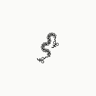 CCC(C)(C)C(=O)OCCC[Si](C)(C)O[Si](C)(C)O[Si](C)(C)O[Si](C)(C)O[Si](C)(C)O[Si](C)(C)O[Si](C)(C)O[Si](C)(C)O[Si](C)(C)O[Si](C)(C)O[Si](C)(C)CCCOC(=O)C(C)(C)CC